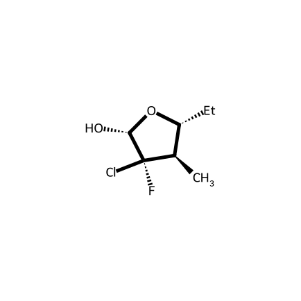 CC[C@H]1O[C@@H](O)[C@](F)(Cl)[C@@H]1C